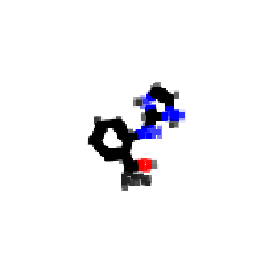 CNC(=O)c1ccccc1Nc1ncc[nH]1